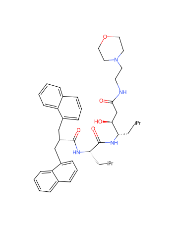 CC(C)C[C@H](NC(=O)C(Cc1cccc2ccccc12)Cc1cccc2ccccc12)C(=O)N[C@@H](CC(C)C)[C@@H](O)CC(=O)NCCN1CCOCC1